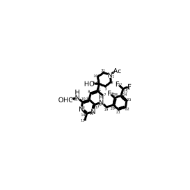 CC(=O)N1CCC(O)(/C(C)=C/c2c(NC=O)nc(C)nc2NCc2cccc(C(F)F)c2F)CC1